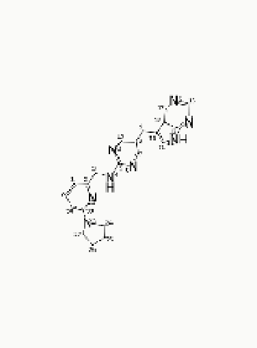 c1cc(CNc2ncc(Cc3c[nH]c4ncncc34)cn2)nc(N2CCCC2)c1